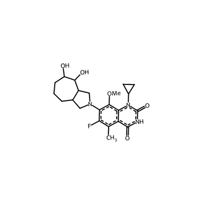 COc1c(N2CC3CCCC(O)C(O)C3C2)c(F)c(C)c2c(=O)[nH]c(=O)n(C3CC3)c12